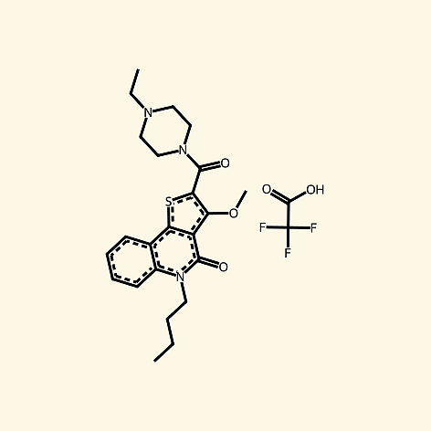 CCCCn1c(=O)c2c(OC)c(C(=O)N3CCN(CC)CC3)sc2c2ccccc21.O=C(O)C(F)(F)F